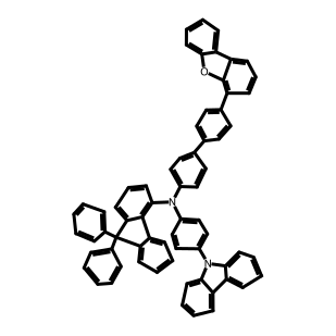 c1ccc(C2(c3ccccc3)c3ccccc3-c3c(N(c4ccc(-c5ccc(-c6cccc7c6oc6ccccc67)cc5)cc4)c4ccc(-n5c6ccccc6c6ccccc65)cc4)cccc32)cc1